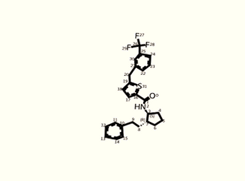 O=C(N[C@H]1CCC[C@@H]1CCc1ccccc1)c1ccc(Cc2cccc(C(F)(F)F)c2)s1